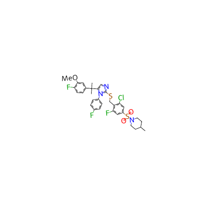 COc1cc(C(C)(C)c2cnc(SCc3c(F)cc(S(=O)(=O)N4CCC(C)CC4)cc3Cl)n2-c2ccc(F)cc2)ccc1F